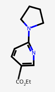 CCOC(=O)c1ccc(N2CCCC2)nc1